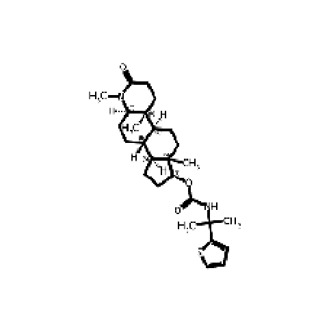 CN1C(=O)CC[C@]2(C)[C@H]3CC[C@]4(C)[C@@H](OC(=O)NC(C)(C)c5cccs5)CC[C@H]4[C@@H]3CC[C@@H]12